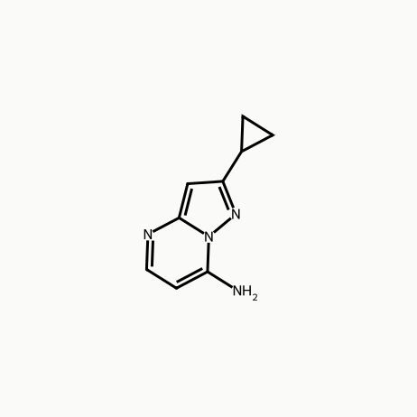 Nc1ccnc2cc(C3CC3)nn12